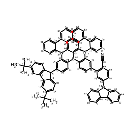 CC(C)(C)c1ccc2c(c1)-c1cc(C(C)(C)C)ccc1C2c1ccc2c(c1)N(c1ccccc1-c1ccccc1)c1cccc3c1B2c1ccc(-c2cc(-n4c5ccccc5c5ccccc54)ccc2C#N)cc1N3c1ccccc1-c1ccccc1